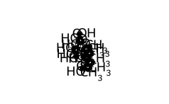 CC1(C)C2CC[C@]3(C)[C@H](C(=O)C=C4[C@@H]5C[C@@](C)(C(=O)O)CC[C@]5(C)CC[C@]43C)[C@@]2(C)CC[C@@H]1O[C@H]1O[C@H](C(=O)O)[C@@H](O)[C@H](O)[C@H]1O[C@H]1C[C@@H](O)[C@H](O)[C@@H](C(=O)O)O1